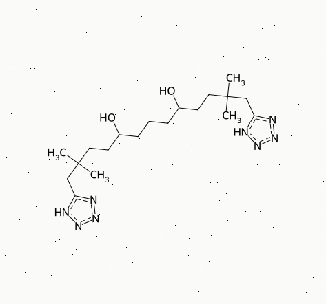 CC(C)(CCC(O)CCCC(O)CCC(C)(C)Cc1nnn[nH]1)Cc1nnn[nH]1